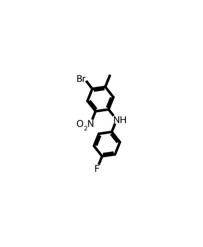 Cc1cc(Nc2ccc(F)cc2)c([N+](=O)[O-])cc1Br